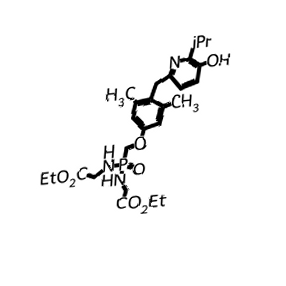 CCOC(=O)CNP(=O)(COc1cc(C)c(Cc2ccc(O)c(C(C)C)n2)c(C)c1)NCC(=O)OCC